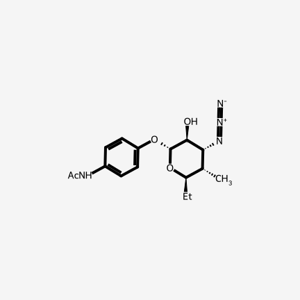 CC[C@H]1O[C@H](Oc2ccc(NC(C)=O)cc2)[C@@H](O)[C@H](N=[N+]=[N-])[C@@H]1C